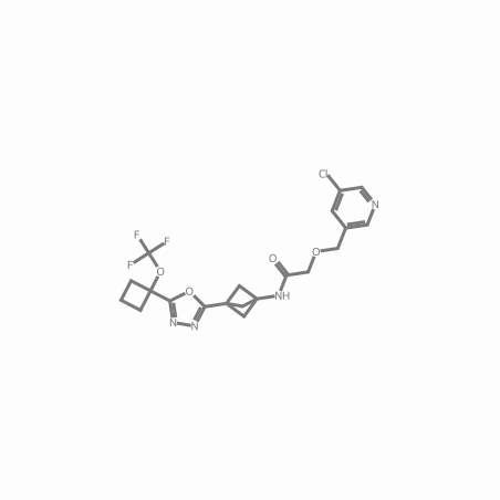 O=C(COCc1cncc(Cl)c1)NC12CC(c3nnc(C4(OC(F)(F)F)CCC4)o3)(C1)C2